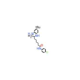 C=C(CCCCCC(=O)Nc1ccc(F)cc1)Nc1ccc(C(C)(C)C)cc1N